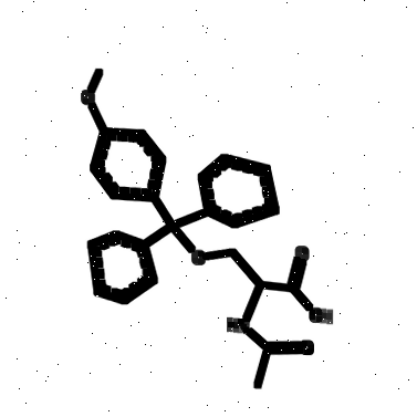 COc1ccc(C(OCC(NC(C)=O)C(=O)O)(c2ccccc2)c2ccccc2)cc1